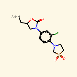 CC(=O)NCC1CN(c2ccc(N3CCS(=O)(=O)C3)c(F)c2)C(=O)O1